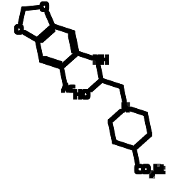 CCOC(=O)C1CCN(CC(O)Nc2cc3c(cc2C(C)=O)OCO3)CC1